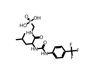 CC(C)CC(NC(=O)Nc1ccc(C(F)(F)F)cc1)C(=O)NCP(=O)(O)O